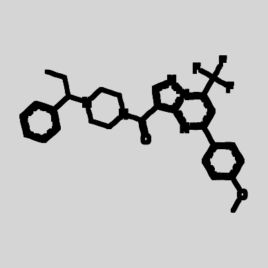 CCC(c1ccccc1)N1CCN(C(=O)c2cnn3c(C(F)(F)F)cc(-c4ccc(OC)cc4)nc23)CC1